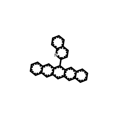 c1ccc2cc3c(-c4ccc5ccccc5n4)c4cc5ccccc5cc4cc3cc2c1